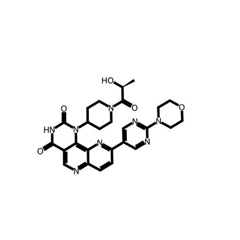 C[C@H](O)C(=O)N1CCC(n2c(=O)[nH]c(=O)c3cnc4ccc(-c5cnc(N6CCOCC6)nc5)nc4c32)CC1